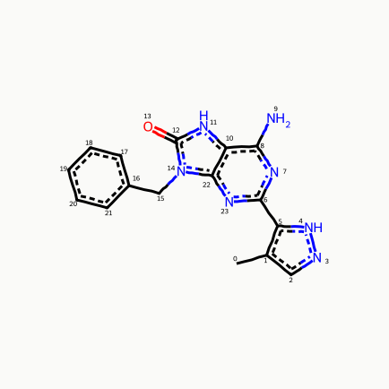 Cc1cn[nH]c1-c1nc(N)c2[nH]c(=O)n(Cc3ccccc3)c2n1